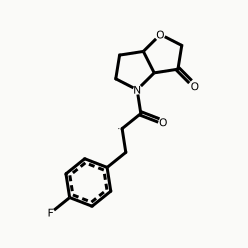 O=C1COC2CCN(C(=O)[CH]Cc3ccc(F)cc3)C12